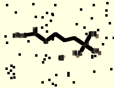 CCCCCNOCCC[N+](C)(C)C.[Cl-]